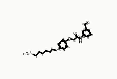 CCCCCCCCCCCCCCCCOc1ccc(OCC(=O)Nc2cccc(CBr)c2)cc1